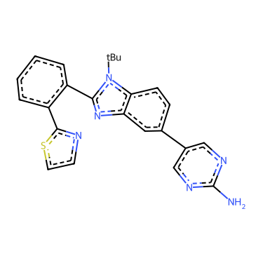 CC(C)(C)n1c(-c2ccccc2-c2nccs2)nc2cc(-c3cnc(N)nc3)ccc21